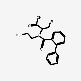 CCCN(C(=O)c1ccccc1-c1ccccc1)C(CO)C(=O)O